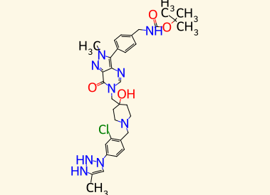 CC1=CN(c2ccc(CN3CCC(O)(Cn4cnc5c(-c6ccc(CNC(=O)OC(C)(C)C)cc6)n(C)nc5c4=O)CC3)c(Cl)c2)NN1